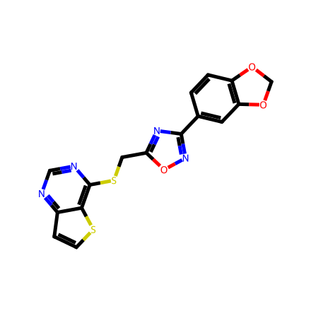 c1nc(SCc2nc(-c3ccc4c(c3)OCO4)no2)c2sccc2n1